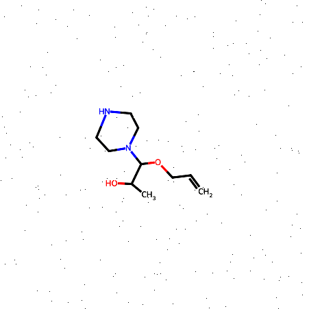 C=CCOC(C(C)O)N1CCNCC1